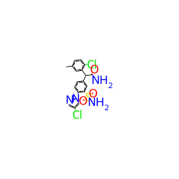 Cc1ccc(Cl)c(C(C(N)=O)c2ccc(-n3cc(Cl)cn3)c(S(N)(=O)=O)c2)c1